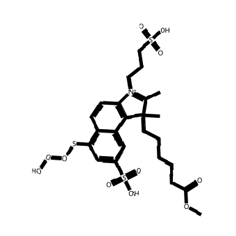 COC(=O)CCCCCC1(C)C(C)=[N+](CCCS(=O)(=O)O)c2ccc3c(SOOO)cc(S(=O)(=O)O)cc3c21